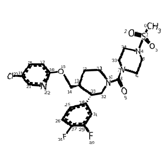 CS(=O)(=O)N1CCN(C(=O)N2CC[C@H](COc3ccc(Cl)cn3)[C@@H](c3ccc(F)c(F)c3)C2)CC1